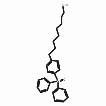 CCCCCCCCCCCCCCCCCCc1ccc([SH](=O)(c2ccccc2)c2ccccc2)cc1